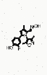 Cc1cc(-c2ccc(O)c(F)c2)n(-c2c(C)noc2C)c1/C=N/O